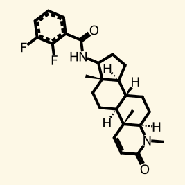 CN1C(=O)C=C[C@]2(C)[C@H]3CC[C@]4(C)C(NC(=O)c5cccc(F)c5F)CC[C@H]4[C@@H]3CC[C@@H]12